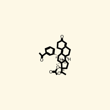 CC(=O)O[C@]1(C(C)=O)CC[C@H]2[C@@H]3CCC4=CC(=O)CCC4=C3[C@@H](c3cccc(C(C)=O)c3)C[C@@]21C